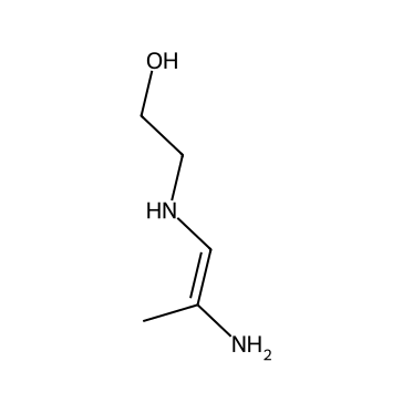 C/C(N)=C\NCCO